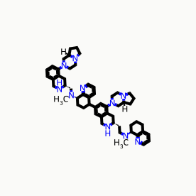 CN(CC[C@H]1Cc2c(cc(C3CC[C@H](N(C)C[C@H]4Cc5c(cccc5N5CCN6CCC[C@H]6C5)CN4)c4ncccc43)cc2N2CCN3CCC[C@@H]3C2)CN1)[C@H]1CCCc2cccnc21